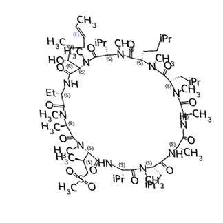 C/C=C/C[C@@H](C)[C@@H](O)[C@H]1C(=O)N[C@@H](CC)C(=O)N(C)[C@H](C)C(=O)N(C)[C@@H]([C@H](C)CS(C)(=O)=O)C(=O)N[C@@H](C(C)C)C(=O)N(C)[C@@H](CC(C)C)C(=O)N[C@@H](C)C(=O)N[C@H](C)C(=O)N(C)[C@@H](CC(C)C)C(=O)N(C)[C@@H](CCC(C)C)C(=O)N(C)[C@@H](C(C)C)C(=O)N1C